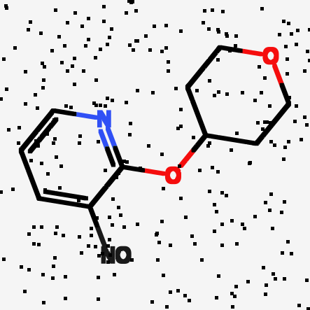 O=Nc1cccnc1OC1CCOCC1